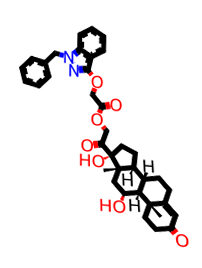 C[C@]12CCC(=O)C=C1CC[C@@H]1[C@@H]2[C@@H](O)C[C@@]2(C)[C@H]1CC[C@]2(O)C(=O)COC(=O)COc1nn(Cc2ccccc2)c2ccccc12